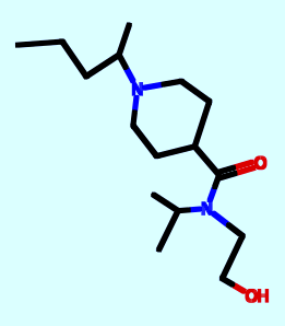 CCCC(C)N1CCC(C(=O)N(CCO)C(C)C)CC1